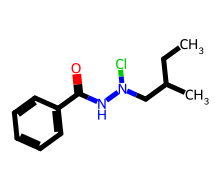 CCC(C)CN(Cl)NC(=O)c1ccccc1